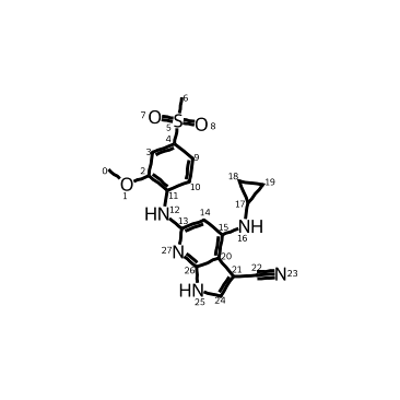 COc1cc(S(C)(=O)=O)ccc1Nc1cc(NC2CC2)c2c(C#N)c[nH]c2n1